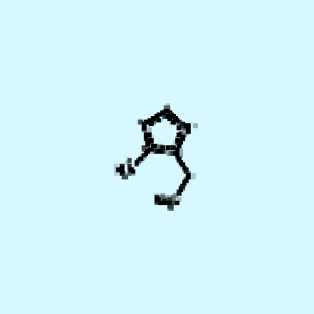 COCc1sccc1N